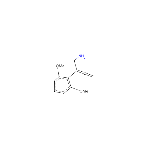 C=C=C(CN)c1c(OC)cccc1OC